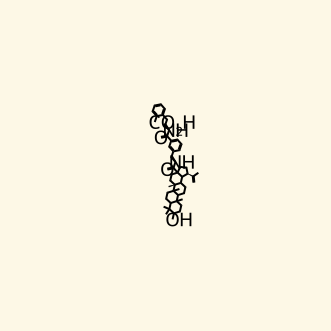 C=C(C)[C@@H]1CCC2(C(=O)NCc3cccc(C(=O)NCCc4ccccc4C(=O)O)c3)CC[C@]3(C)C(CCC4C5(C)CCC(O)C(C)(C)C5CCC43C)C12